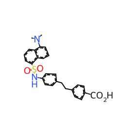 CN(C)c1cccc2c(S(=O)(=O)Nc3ccc(CCc4ccc(C(=O)O)cc4)cc3)cccc12